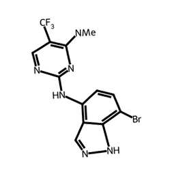 CNc1nc(Nc2ccc(Br)c3[nH]ncc23)ncc1C(F)(F)F